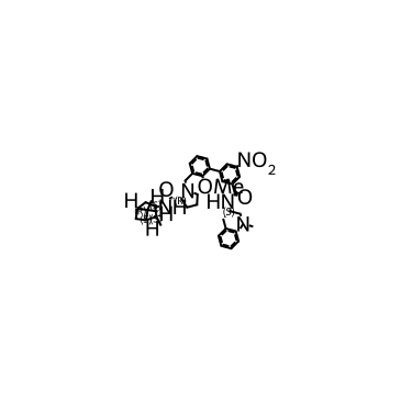 COc1c(CN2CCC[C@@H]2C(=O)N[C@H]2C[C@H]3C[C@@H]([C@@H]2C)C3(C)C)cccc1-c1cc(C(=O)N[C@@H](Cc2ccccc2)CN(C)C)cc([N+](=O)[O-])c1